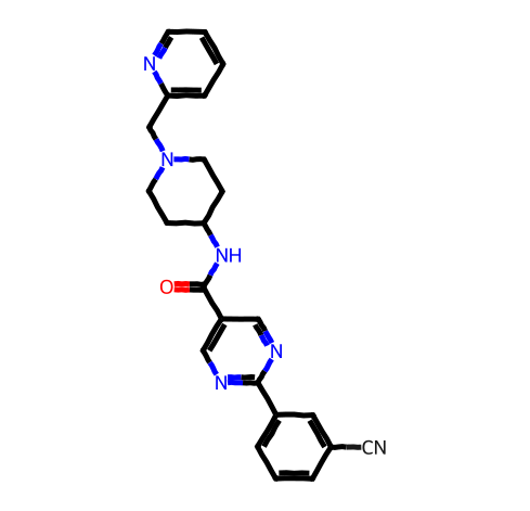 N#Cc1cccc(-c2ncc(C(=O)NC3CCN(Cc4ccccn4)CC3)cn2)c1